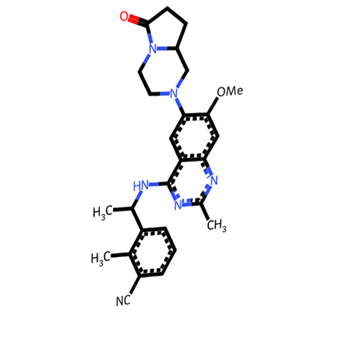 COc1cc2nc(C)nc(NC(C)c3cccc(C#N)c3C)c2cc1N1CCN2C(=O)CCC2C1